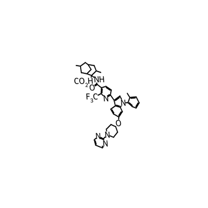 Cc1ccccc1-n1cc(-c2ccc(C(=O)NC3(C(=O)O)C(C)CC4CC(C)CC3C4)c(C(F)(F)F)n2)c2ccc(OC3CCN(c4ncccn4)CC3)cc21